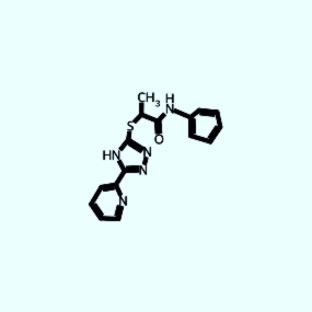 CC(Sc1nnc(-c2ccccn2)[nH]1)C(=O)Nc1ccccc1